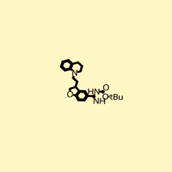 CC(C)(C)OC(=O)NC(=N)c1ccc2c(c1)C(CCN1CCCc3ccccc31)CO2